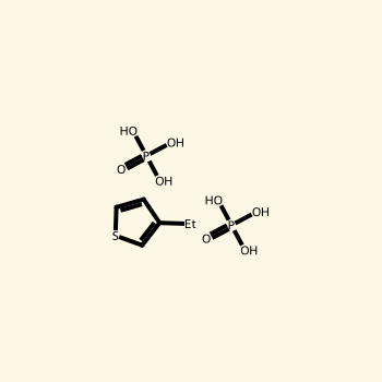 CCc1ccsc1.O=P(O)(O)O.O=P(O)(O)O